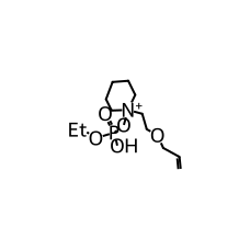 C=CCOCC[N+]1(OP(=O)(O)OCC)CCCCC1